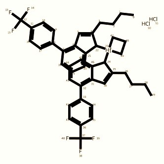 CCCCC1=Cc2c(-c3ccc(C(F)(F)F)cc3)cccc2[CH]1[Hf]1([CH]2C(CCCC)=Cc3c(-c4ccc(C(F)(F)F)cc4)cccc32)[CH2]C[CH2]1.Cl.Cl